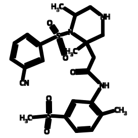 Cc1ccc(S(C)(=O)=O)cc1NC(=O)CC1(C)CNCC(C)N1S(=O)(=O)c1cccc(C#N)c1